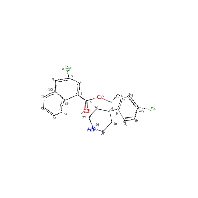 CC(OC(=O)c1cc(Br)cc2ccccc12)C1(c2ccc(F)cc2)CCNCC1